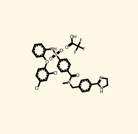 CN(Cc1ccc(C2=NCCN2)cc1)C(=O)c1ccc(S(=O)(=O)Nc2ccccc2Oc2ccc(Cl)cc2Cl)cc1.O=C(O)C(F)(F)F